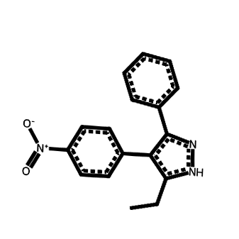 CCc1[nH]nc(-c2ccccc2)c1-c1ccc([N+](=O)[O-])cc1